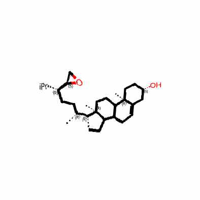 CC(C)[C@@H](CC[C@@H](C)[C@H]1CCC2C3CC=C4C[C@@H](O)CC[C@]4(C)C3CC[C@@]21C)[C@H]1CO1